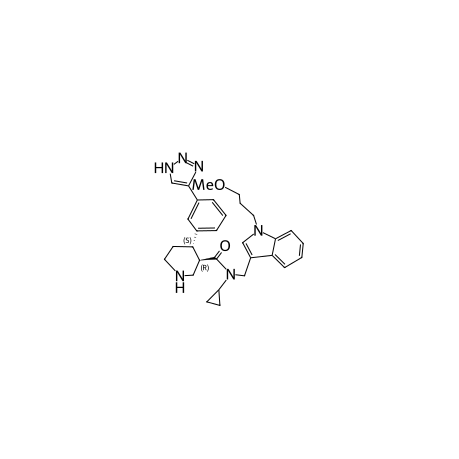 COCCCn1cc(CN(C(=O)[C@H]2CNCC[C@@H]2c2cccc(-c3c[nH]nn3)c2)C2CC2)c2ccccc21